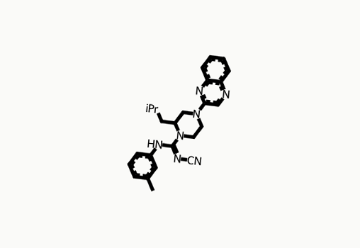 Cc1cccc(N/C(=N/C#N)N2CCN(c3cnc4ccccc4n3)CC2CC(C)C)c1